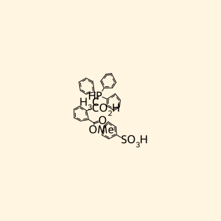 COC(=O)c1ccccc1C(=O)O.C[PH](c1ccccc1)(c1ccccc1)c1ccccc1.O=S(=O)(O)c1ccccc1